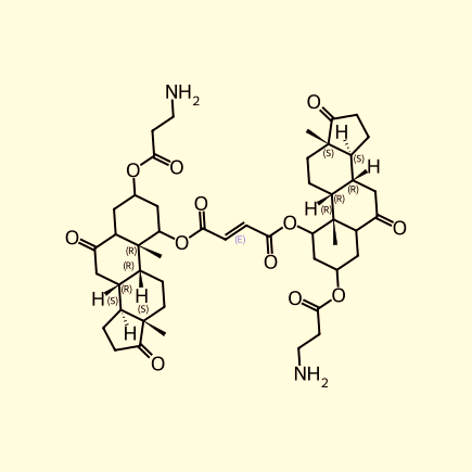 C[C@]12C(OC(=O)/C=C/C(=O)OC3CC(OC(=O)CCN)CC4C(=O)C[C@@H]5[C@@H](CC[C@]6(C)C(=O)CC[C@@H]56)[C@@]34C)CC(OC(=O)CCN)CC1C(=O)C[C@@H]1[C@H]2CC[C@]2(C)C(=O)CC[C@@H]12